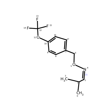 CC(C)/[C]=N\OCc1ccc(OC(F)(F)F)cc1